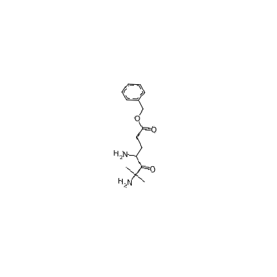 CC(C)(N)C(=O)C(N)CCC(=O)OCc1ccccc1